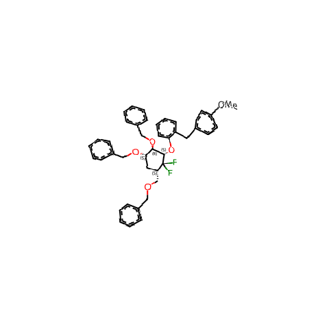 COc1ccc(Cc2ccccc2O[C@H]2[C@H](OCc3ccccc3)[C@@H](OCc3ccccc3)C[C@@H](COCc3ccccc3)C2(F)F)cc1